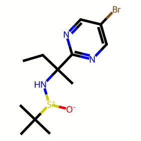 CCC(C)(N[S+]([O-])C(C)(C)C)c1ncc(Br)cn1